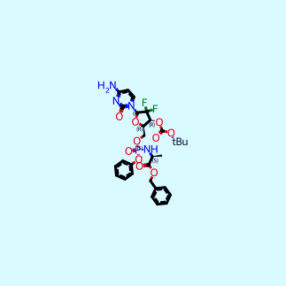 C[C@H](N[P@](=O)(OC[C@H]1O[C@@H](n2ccc(N)nc2=O)C(F)(F)[C@@H]1OC(=O)OC(C)(C)C)Oc1ccccc1)C(=O)OCc1ccccc1